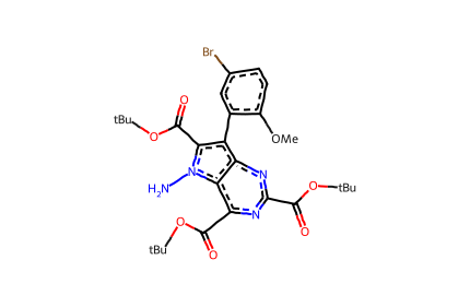 COc1ccc(Br)cc1-c1c(C(=O)OC(C)(C)C)n(N)c2c(C(=O)OC(C)(C)C)nc(C(=O)OC(C)(C)C)nc12